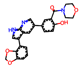 O=C(c1cc(-c2cnc3[nH]cc(-c4cccc5c4OCO5)c3c2)ccc1O)N1CCOCC1